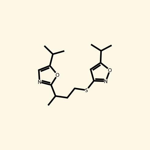 CC(C)c1cc(SCCC(C)c2ncc(C(C)C)o2)no1